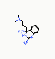 CN(C)CCCC1(N)NC(N)=Nc2ccccc21